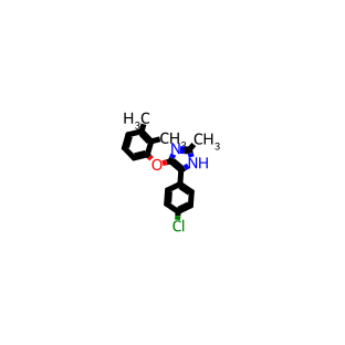 Cc1nc(Oc2cccc(C)c2C)c(-c2ccc(Cl)cc2)[nH]1